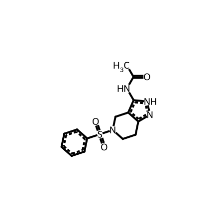 CC(=O)Nc1[nH]nc2c1CN(S(=O)(=O)c1ccccc1)CC2